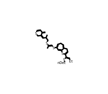 C=C1C=CSC/C1=C/C(C)CS/C(C)=C/SC1=CCC=C2CC=C(/C(=C/CC)SCCCCCCCCCC)SC2=C1